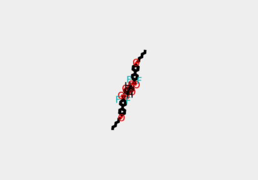 CCCCCCOc1ccc(-c2cc(F)c(C(=O)O[C@H]3CO[C@@H]4[C@H]3OC[C@H]4OC(=O)c3c(F)cc(-c4ccc(OCCCCCC)cc4)cc3F)c(F)c2)cc1